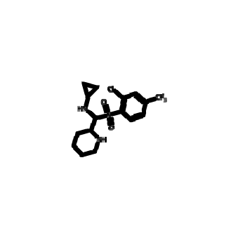 O=S(=O)(c1ccc(C(F)(F)F)cc1Cl)C(NC1CC1)C1CCCCN1